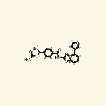 CC(C)(C)C(OC(N)=O)c1ccc(C(=O)Nc2nc3cccc(-c4ccoc4)n3n2)cc1